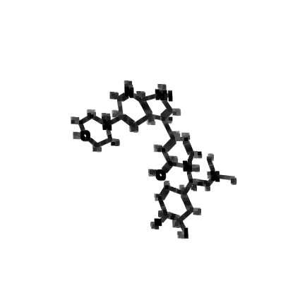 CN(C)/C=C(/c1ccc(F)c(I)c1)n1ccc(-c2c[nH]c3ncc(N4CCOCC4)cc23)cc1=O